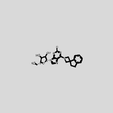 OC[C@H]1O[C@@H](n2cnc3c(N4CC5(CCc6ccccc65)C4)nc(Cl)nc32)C(O)C1O